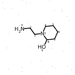 NCCN1CCCCC1O